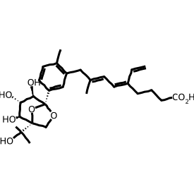 C=C/C(=C\C=C(/C)Cc1cc([C@]23OC[C@](C(C)(C)O)(O2)[C@@H](O)[C@H](O)[C@H]3O)ccc1C)CCCC(=O)O